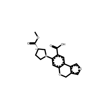 COC(=O)[C@H]1CCN(c2cc3c(cc2C(=O)O)-c2cscc2CO3)C1